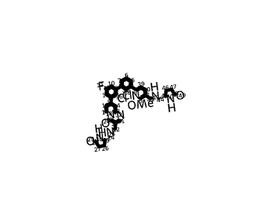 COc1nc(-c2cccc(-c3cc(F)cc(-c4ccn5c(=O)c(CNC[C@@H]6CCC(=O)N6)cnc5c4)c3Cl)c2Cl)ccc1CNC[C@@H]1CCC(=O)N1